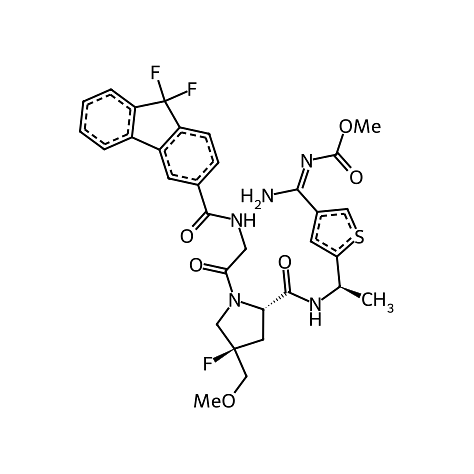 COC[C@@]1(F)C[C@@H](C(=O)N[C@H](C)c2cc(/C(N)=N\C(=O)OC)cs2)N(C(=O)CNC(=O)c2ccc3c(c2)-c2ccccc2C3(F)F)C1